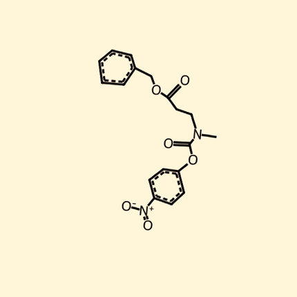 CN(CCC(=O)OCc1ccccc1)C(=O)Oc1ccc([N+](=O)[O-])cc1